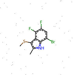 CSc1c(C)[nH]c2c(Br)cc(F)c(F)c12